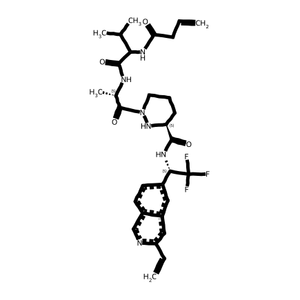 C=CCC(=O)NC(C(=O)N[C@@H](C)C(=O)N1CCC[C@@H](C(=O)N[C@@H](c2ccc3cnc(C=C)cc3c2)C(F)(F)F)N1)C(C)C